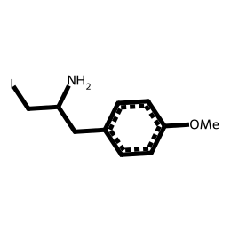 COc1ccc(CC(N)CI)cc1